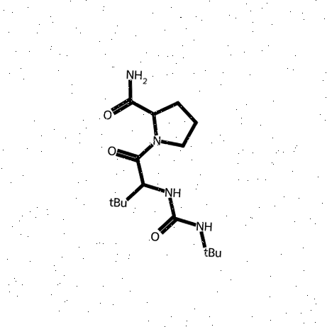 CC(C)(C)NC(=O)NC(C(=O)N1CCCC1C(N)=O)C(C)(C)C